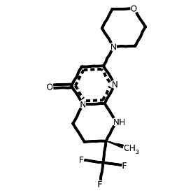 C[C@@]1(C(F)(F)F)CCn2c(nc(N3CCOCC3)cc2=O)N1